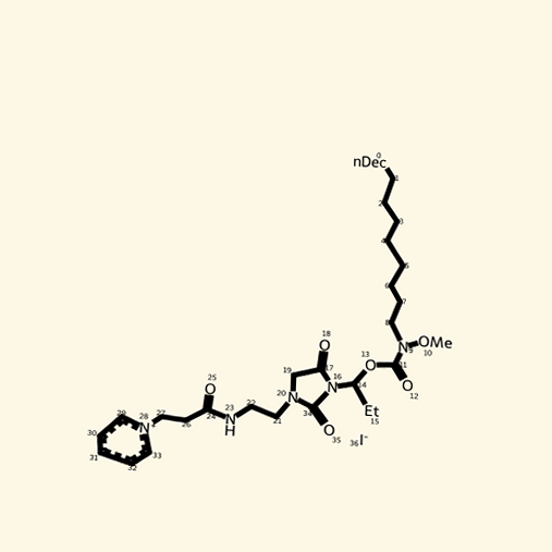 CCCCCCCCCCCCCCCCCCN(OC)C(=O)OC(CC)N1C(=O)CN(CCNC(=O)CC[n+]2ccccc2)C1=O.[I-]